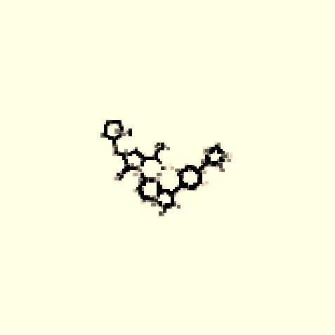 CC(C)C1CN(CC2CCCN2)C(=O)N1c1ccn2ncc(-c3ccc(-c4nc[nH]n4)cc3)c2n1